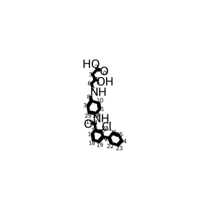 O=C(O)C[C@H](O)CNCc1ccc(NC(=O)c2cccc(-c3ccccc3)c2Cl)cc1